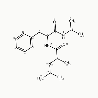 CC(C)NC(=O)C(Cc1ccccc1)NC(=O)C(C)NC(C)C